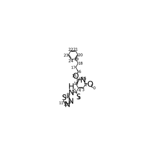 COc1cc(C(=S)Nc2nncs2)cc(OCCCc2ccccc2)n1